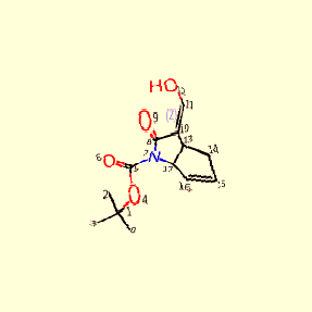 CC(C)(C)OC(=O)N1C(=O)/C(=C\O)C2CC=CC21